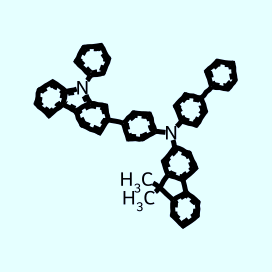 CC1(C)c2ccccc2-c2ccc(N(c3ccc(-c4ccccc4)cc3)c3ccc(-c4ccc5c6ccccc6n(-c6ccccc6)c5c4)cc3)cc21